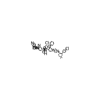 CN1CCC(O)(CNc2ccc(S(=O)(=O)NC(=O)c3ccc(N4CCN(CC5=C(c6ccc(Cl)cc6)CC(C)(C)CC5)CC4)cc3Oc3ccccc3Cl)cc2[N+](=O)[O-])CC1